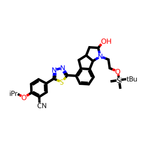 CC(C)Oc1ccc(-c2nnc(-c3cccc4c3CC3CC(O)N(CCO[Si](C)(C)C(C)(C)C)C43)s2)cc1C#N